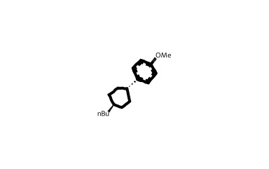 CCCC[C@H]1CC[C@H](c2ccc(OC)cc2)CC1